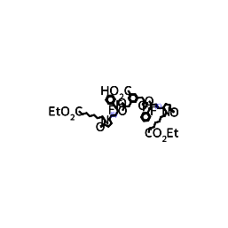 CCOC(=O)CCCCCCN1C(=O)CCC1/C=C/C(OC(=O)Cc1cc(CC(=O)OC(/C=C/C2CCC(=O)N2CCCCCCC(=O)OCC)C(F)(F)c2ccccc2)cc(C(=O)O)c1)C(F)(F)c1ccccc1